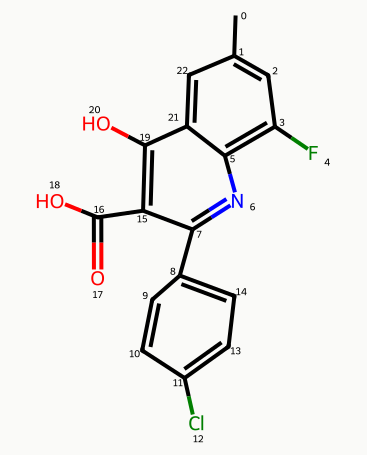 Cc1cc(F)c2nc(-c3ccc(Cl)cc3)c(C(=O)O)c(O)c2c1